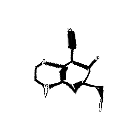 N#Cc1c(F)c(C=O)cc2c1OCCO2